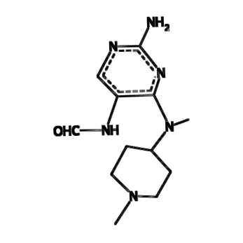 CN1CCC(N(C)c2nc(N)ncc2NC=O)CC1